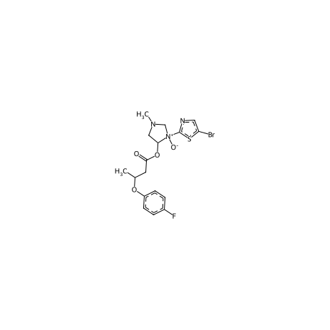 CC(CC(=O)OC1CN(C)C[N+]1([O-])c1ncc(Br)s1)Oc1ccc(F)cc1